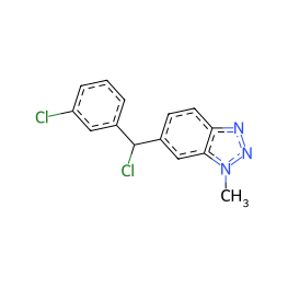 Cn1nnc2ccc(C(Cl)c3cccc(Cl)c3)cc21